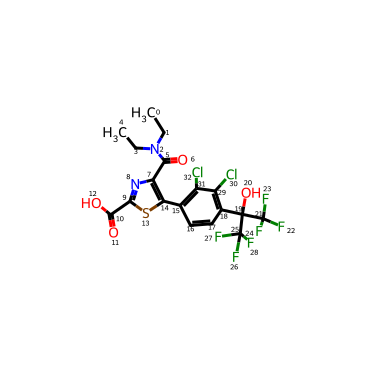 CCN(CC)C(=O)c1nc(C(=O)O)sc1-c1ccc(C(O)(C(F)(F)F)C(F)(F)F)c(Cl)c1Cl